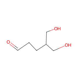 O=CCCC(CO)CO